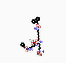 CC(C)(C)OC(=O)NCCCCC(NC(=O)CCCCCCCNC(=O)OCC1c2ccccc2-c2ccccc21)C(=O)NC(CCCCNC(=O)OCc1ccccc1)C(=O)OC(C)(C)C